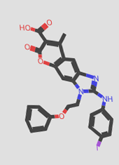 Cc1c(C(=O)O)c(=O)oc2cc3c(cc12)nc(Nc1ccc(I)cc1)n3CCOc1ccccc1